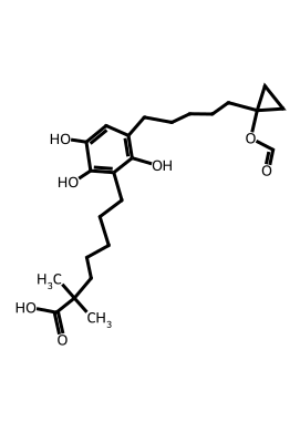 CC(C)(CCCCCc1c(O)c(O)cc(CCCCCC2(OC=O)CC2)c1O)C(=O)O